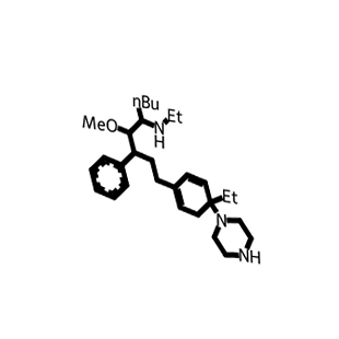 CCCCC(NCC)C(OC)C(CCC1=CCC(CC)(N2CCNCC2)C=C1)c1ccccc1